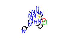 Cc1nc(Nc2ncc(C(=O)Nc3c(C)cccc3Cl)s2)nc(N2CCN(Cc3cccnc3)CC2)n1